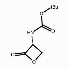 CC(C)(C)OC(=O)N[C@@H]1COC1=O